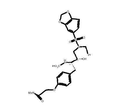 CNC(=O)COc1ccc(C[C@H](NC(=O)O)[C@@H](O)CN(CC(C)C)S(=O)(=O)c2ccc3c(c2)OCO3)cc1